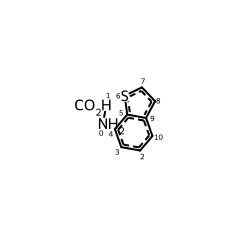 NC(=O)O.c1ccc2sccc2c1